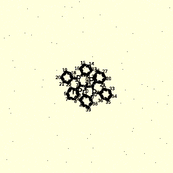 CCCC(C(C)C)(C(c1ccccc1)P(c1ccccc1)c1ccccc1)C(c1ccccc1)P(c1ccccc1)c1ccccc1